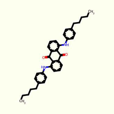 CCCCCc1ccc(Nc2cccc3c2C(=O)c2cccc(Nc4ccc(CCCCC)cc4)c2C3=O)cc1